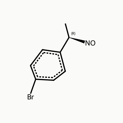 C[C@@H](N=O)c1ccc(Br)cc1